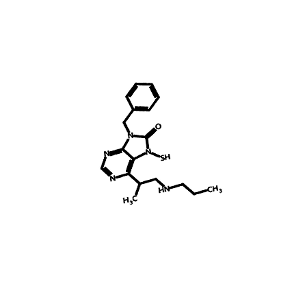 CCCNCC(C)c1ncnc2c1n(S)c(=O)n2Cc1ccccc1